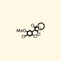 COc1cc(-c2c(Cl)n3n(c2=O)CCCCC3)c(Cl)cc1Cl